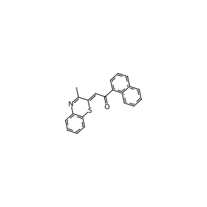 CC1=Nc2ccccc2SC1=CC(=O)c1cccc2ccccc12